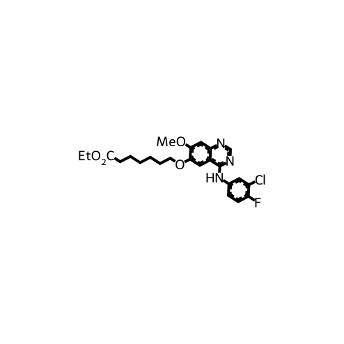 CCOC(=O)CCCCCCOc1cc2c(Nc3ccc(F)c(Cl)c3)ncnc2cc1OC